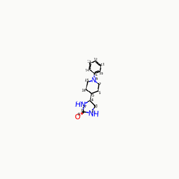 O=C1NCC(C2CCN(c3ccccc3)CC2)N1